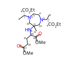 CCOC(=O)[C@@H](C)N1CCN([C@H](C)C(=O)OCC)CC(C)(NC(CCC(=O)OC)C(=O)OC)C1